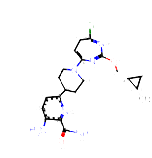 N#C[C@H]1C[C@H]1COC1=NC(N2CCC(c3ccc(N)c(C(N)=O)n3)CC2)=CCC(Cl)=N1